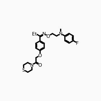 CCC(=NOCCN(C)c1ccc(F)cc1)c1ccc(OCC(=O)N2CCSCC2)cc1